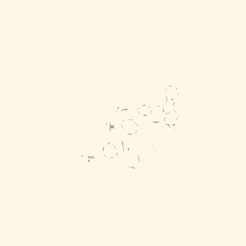 C=CCC(/C(=C\C)c1cc(C#N)ccc1-n1c2ccccc2c2ccccc21)c1ccc(C#N)c(N2c3ccc(C#N)cc3C3C=CC=CC32)c1